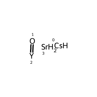 [CsH].[O]=[Y].[SrH2]